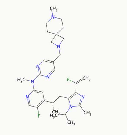 C=C(F)c1nc(C)n(C(C)C)c1CC(C)c1cc(N(C)c2ncc(CN3CC4(CCN(C)CC4)C3)cn2)ncc1F